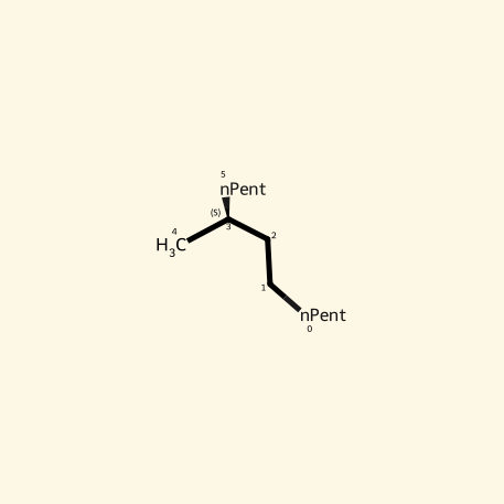 CCCCCCC[C@@H](C)CCCCC